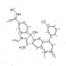 C=CN(C)/C(=C\N)C(O)(c1ccc(C(=O)NC(C)C)cc1)c1ccc2c(c1)c(-c1cccc(Cl)c1)cc(=O)n2C